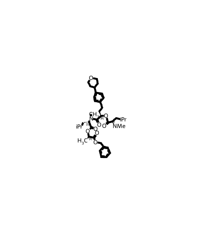 CN[C@@H](CC(C)C)C(=O)O[C@H](CCc1ccc(C2CCOCC2)cc1)C(=O)N(C)[C@@H](CC(C)C)C(=O)O[C@H](C)C(=O)OCc1ccccc1